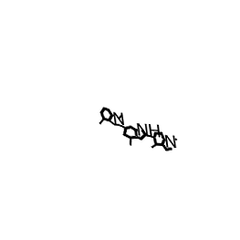 Cc1cccc2c1CC(c1cc(C)c3cc(-c4ccc5c(ccn5C)c4C)[nH]c3c1)N2C